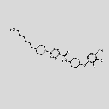 Cc1c(OC2CCC(NC(=O)c3ccc(N4CCC(CCCCCCO)CC4)nn3)CC2)ccc(C#N)c1Cl